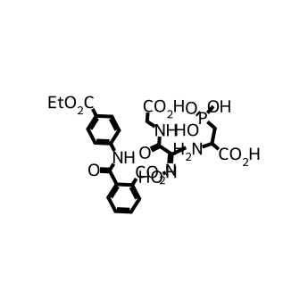 C/C(=N/O)C(=O)NCC(=O)O.CCOC(=O)c1ccc(NC(=O)c2ccccc2C(=O)O)cc1.NC(CP(=O)(O)O)C(=O)O